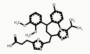 COc1cccc(C2CC(Cc3ncc(CCC(=O)O)o3)c3nnc(C(C)C)n3-c3ccc(Cl)cc32)c1OC